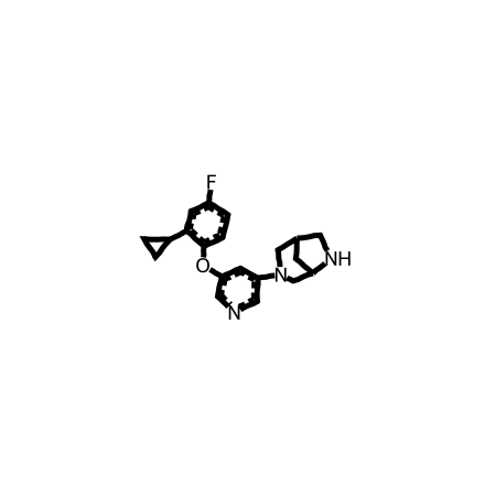 Fc1ccc(Oc2cncc(N3CC4CNC(C4)C3)c2)c(C2CC2)c1